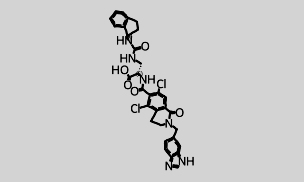 O=C(NC[C@H](NC(=O)c1c(Cl)cc2c(c1Cl)CCN(Cc1ccc3nc[nH]c3c1)C2=O)C(=O)O)N[C@@H]1CCc2ccccc21